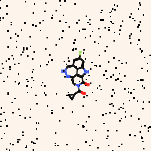 O=C1C2=C3C(=NNC=C4C=C(F)C=C(N2)C43)CN1C(=O)C1CC1